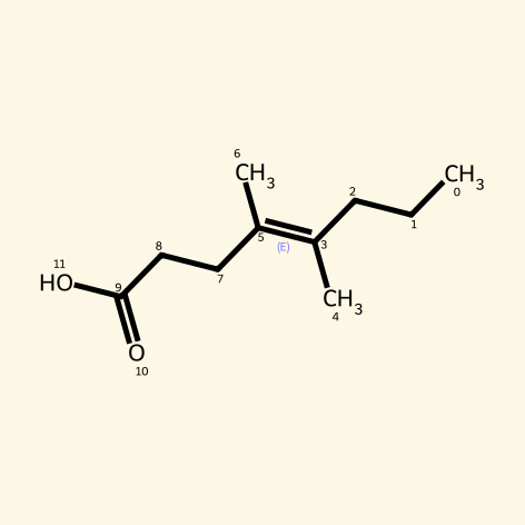 CCC/C(C)=C(\C)CCC(=O)O